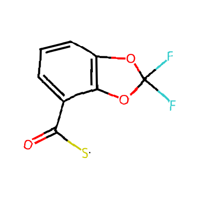 O=C([S])c1cccc2c1OC(F)(F)O2